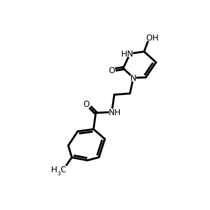 CC1=CC=CC(C(=O)NCCN2C=CC(O)NC2=O)=CC1